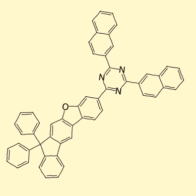 c1ccc(C2(c3ccccc3)c3ccccc3-c3cc4c(cc32)oc2cc(-c3nc(-c5ccc6ccccc6c5)nc(-c5ccc6ccccc6c5)n3)ccc24)cc1